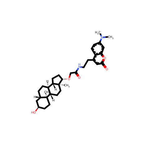 CN(C)c1ccc2c(CCNC(=O)CO[C@H]3CC[C@H]4[C@@H]5CC[C@H]6C[C@H](O)CC[C@]6(C)[C@H]5CC[C@]34C)cc(=O)oc2c1